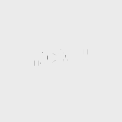 CC(C)(C)c1cc(OC(=O)CCO)cc(C(C)(C)C)c1O